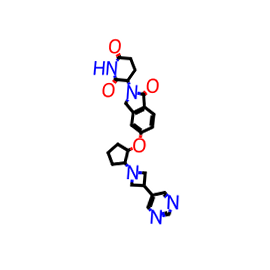 O=C1CCC(N2Cc3cc(OC4CCCC4N4CC(c5cncnc5)C4)ccc3C2=O)C(=O)N1